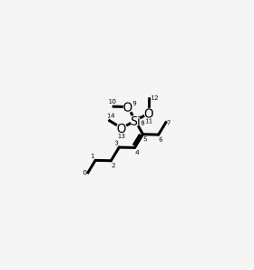 CCCCC=C(CC)[Si](OC)(OC)OC